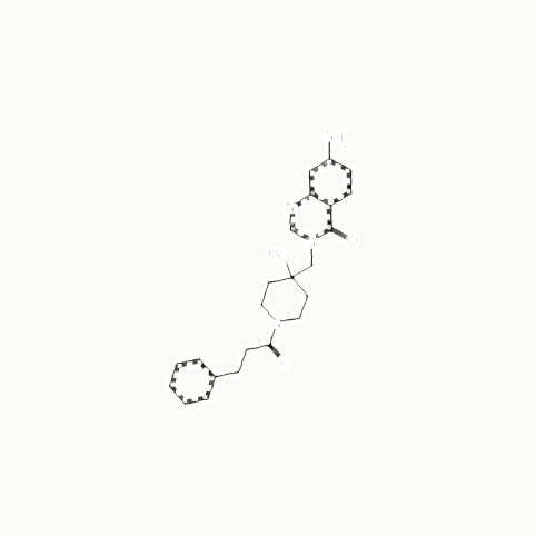 Nc1ccc2c(=O)n(CC3(O)CCN(C(=O)CCc4ccccc4)CC3)cnc2c1